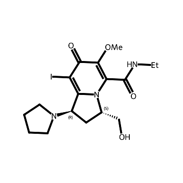 CCNC(=O)c1c(OC)c(=O)c(I)c2n1[C@H](CO)C[C@H]2N1CCCC1